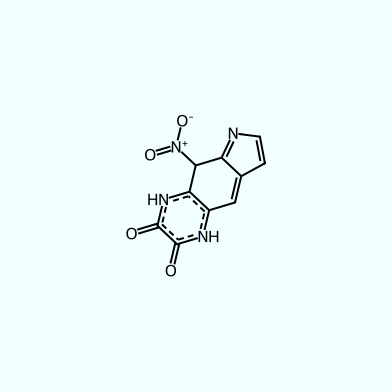 O=c1[nH]c2c([nH]c1=O)C([N+](=O)[O-])C1=NC=CC1=C2